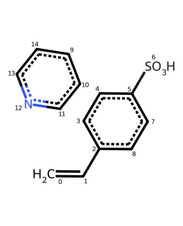 C=Cc1ccc(S(=O)(=O)O)cc1.c1ccncc1